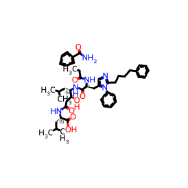 CCC(=O)N[C@@H](Cc1cnc(CCCCc2ccccc2)n1-c1ccccc1)C(=O)N[C@@H](CC(C)C)[C@@H](O)CC(=O)N[C@@H](CC(C)C)C(=O)O.NC(=O)c1ccccc1